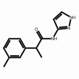 Cc1cccc(C(C)C(=O)Nc2cc[nH]n2)c1